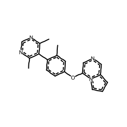 Cc1cc(Oc2cncc3cccn23)ccc1-c1c(C)ncnc1C